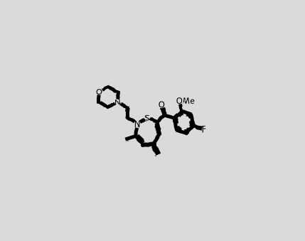 C=C1C=C(C(=O)c2ccc(F)cc2OC)SN(CCN2CCOCC2)C(C)=C1